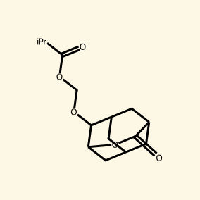 CC(C)C(=O)OCOC1C2CC3CC(C2)C(=O)OC1C3